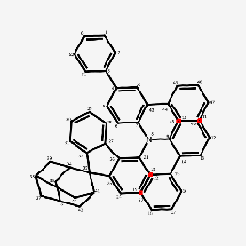 c1ccc(-c2ccc(N(c3ccccc3-c3ccccc3)c3cccc4c3-c3ccccc3C43C4CC5CC(C4)CC3C5)c(-c3ccccc3)c2)cc1